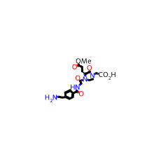 COC(=O)CC[C@H]1C(=O)N(CC(=O)O)CCN1C(=O)CNC(=O)c1ccc(CCN)cc1